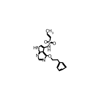 CC=CS(=O)(=O)Nc1c[nH]c2ncnc(OCCc3ccccc3)c12